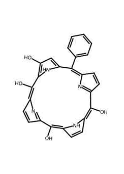 Oc1c2nc(c(-c3ccccc3)c3cc(O)c([nH]3)c(O)c3nc(c(O)c4ccc1[nH]4)C=C3)C=C2